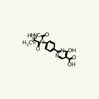 CC(=O)N(C(=O)[C@@H](C)N)c1ccc(-c2ncc(C(=O)O)c(O)n2)cc1